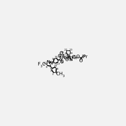 Cc1ccc(-c2cc(C(F)(F)F)nn2-c2ccc(S(=O)(=O)NC(=O)[C@@H]3CCCN3/[N+]([O-])=N\OCOC(=O)C(C)C)cc2)cc1